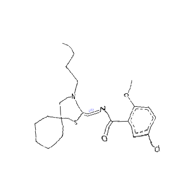 CCCCN1CC2(CCCCC2)S/C1=N\C(=O)c1cc(Cl)ccc1OC